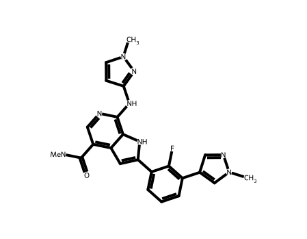 CNC(=O)c1cnc(Nc2ccn(C)n2)c2[nH]c(-c3cccc(-c4cnn(C)c4)c3F)cc12